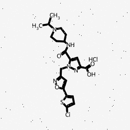 CC(C)N1CCC(NC(=O)c2cc(C(=O)O)nn2Cc2cc(-c3ccc(Cl)s3)on2)CC1.Cl